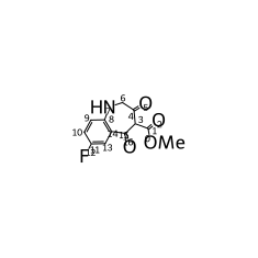 COC(=O)C1C(=O)CNc2ccc(F)cc2C1=O